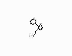 OCCc1ccsc1-c1ccccc1